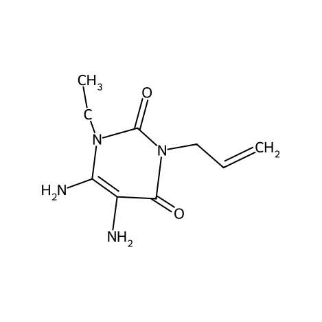 C=CCn1c(=O)c(N)c(N)n(CC)c1=O